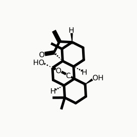 C=C1C(=O)[C@]23C(C)[C@H]1CC[C@H]2[C@@]12CO[C@@]3(O)C[C@@H]1C(C)(C)CC[C@@H]2O